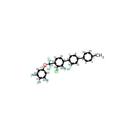 Cc1ccc(-c2ccc(-c3ccc(C(F)(F)Oc4cc(F)c(F)c(F)c4)c(Cl)c3F)c(F)c2)cc1